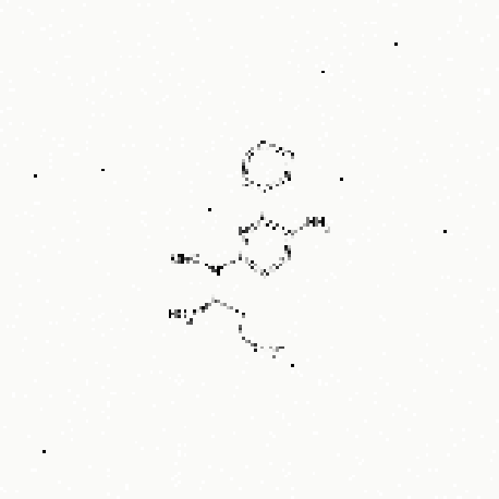 Nc1ccc(N(C=O)[C@@H](CCC(=O)O)C(=O)O)nc1-c1ccccc1